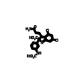 CCOC(=O)Nc1cccc(C2(C(=O)O)N=c3cc(Cl)cc(Cl)c3=C2C=CC(N)=O)c1